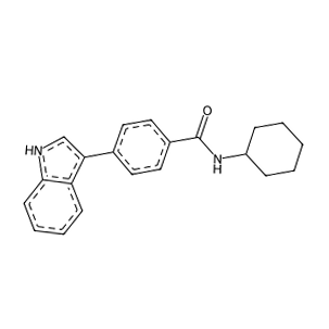 O=C(NC1CCCCC1)c1ccc(-c2c[nH]c3ccccc23)cc1